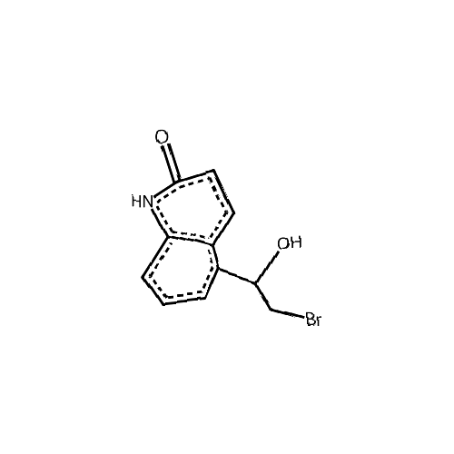 O=c1ccc2c(C(O)CBr)cccc2[nH]1